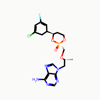 C[C@H](Cn1cnc2c(N)ncnc21)OC[P@@]1(=O)OCC[C@H](C2C=C(F)C=C(Cl)C2)O1